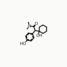 CN(C)C(=O)C(c1ccc(O)cc1)C1(O)CCCCC1